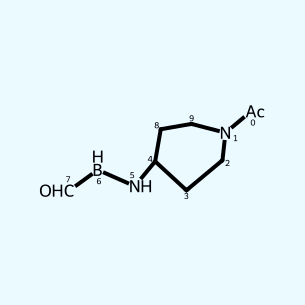 CC(=O)N1CCC(NBC=O)CC1